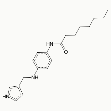 CCCCCCCC(=O)Nc1ccc(NCc2cc[nH]c2)cc1